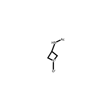 [CH2]C(=O)NC1C[S+]([O-])C1